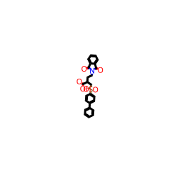 O=C(O)C(CCN1C(=O)c2ccccc2C1=O)CS(=O)(=O)c1ccc(-c2ccccc2)cc1